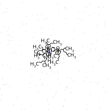 CCCCC(CC)CN1CC(C#N)=C(C)C(/N=N/c2cc(S(=O)(=O)N(CC(CC)CCCC)CC(CC)CCCC)ccc2S(=O)(=O)N(CC(CC)CCCC)CC(CC)CCCC)=C1O